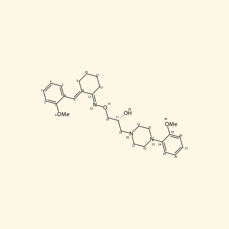 COc1ccccc1/C=C1\CCCC\C1=N/OC[C@H](O)CN1CCN(c2ccccc2OC)CC1